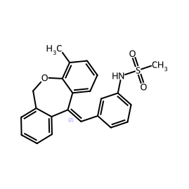 Cc1cccc2c1OCc1ccccc1/C2=C/c1cccc(NS(C)(=O)=O)c1